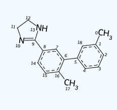 Cc1cccc(-c2cc(C3=NCCN3)ccc2C)c1